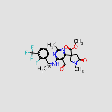 COC(=O)C1(c2nc(C)nc(N[C@H](C)c3cccc(C(F)(F)F)c3F)c2C=O)CC(=O)N(C)C1